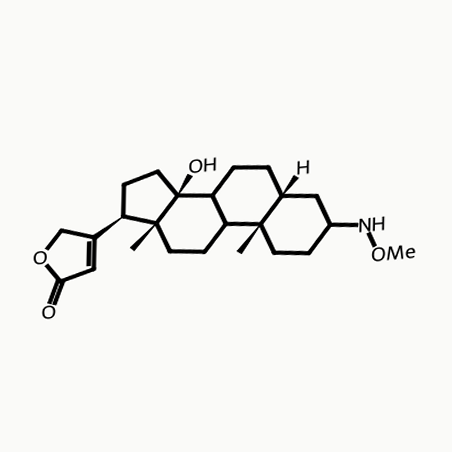 CONC1CC[C@]2(C)C3CC[C@]4(C)[C@@H](C5=CC(=O)OC5)CC[C@]4(O)C3CC[C@@H]2C1